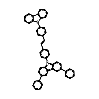 C(=C\c1ccc(-n2c3ccc(-c4ccccc4)cc3c3cc(-c4ccccc4)ccc32)cc1)/c1ccc(B2c3ccccc3-c3ccccc32)cc1